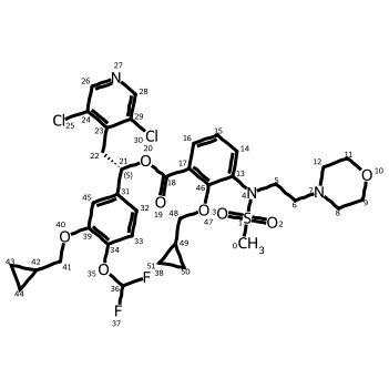 CS(=O)(=O)N(CCN1CCOCC1)c1cccc(C(=O)O[C@@H](Cc2c(Cl)cncc2Cl)c2ccc(OC(F)F)c(OCC3CC3)c2)c1OCC1CC1